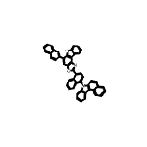 c1ccc2cc(-c3cc4oc(-c5ccc(-n6c7ccccc7c7c8ccccc8ccc76)c6ccccc56)nc4c4c3oc3ccccc34)ccc2c1